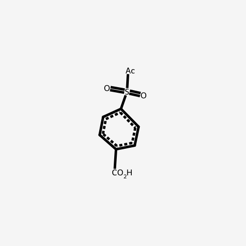 CC(=O)S(=O)(=O)c1ccc(C(=O)O)cc1